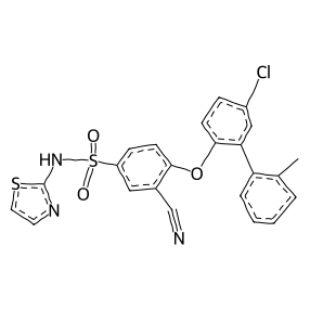 Cc1ccccc1-c1cc(Cl)ccc1Oc1ccc(S(=O)(=O)Nc2nccs2)cc1C#N